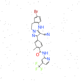 Cc1cc(-c2nn3c(c2C#N)Nc2ccc(Br)cc2CC3)ccc1C(=O)Nc1cc(C(F)(F)F)ccn1